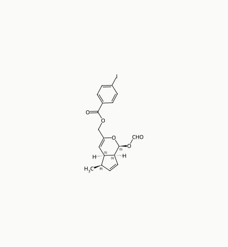 C[C@@H]1C=C[C@@H]2[C@H](OC=O)OC(COC(=O)c3ccc(I)cc3)=C[C@@H]21